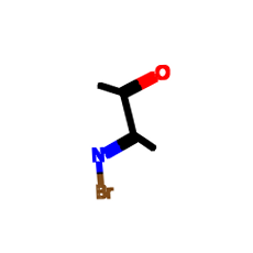 CC(=O)C(C)=NBr